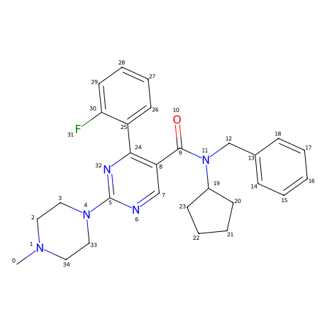 CN1CCN(c2ncc(C(=O)N(Cc3ccccc3)C3CCCC3)c(-c3ccccc3F)n2)CC1